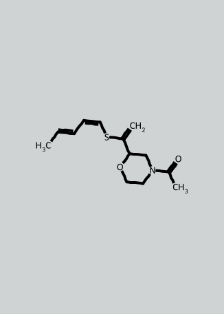 C=C(S/C=C\C=C\C)C1CN(C(C)=O)CCO1